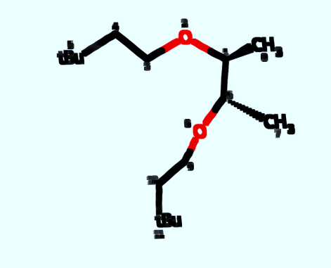 C[C@H](OCCC(C)(C)C)[C@H](C)OCCC(C)(C)C